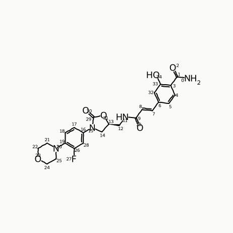 NC(=O)c1ccc(/C=C/C(=O)NC[C@H]2CN(c3ccc(N4CCOCC4)c(F)c3)C(=O)O2)cc1O